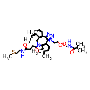 C=C/C=C\C1=C(/C=C)N(C(=O)CCC(=O)NCCSC)CC(/C=C\C)=C(/C=C\C)c2nnn(CCOOCNC(=O)C(C)C)c21